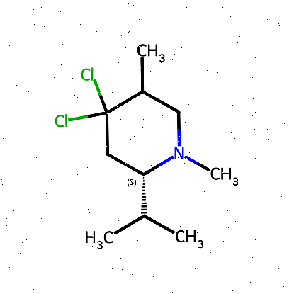 CC(C)[C@@H]1CC(Cl)(Cl)C(C)CN1C